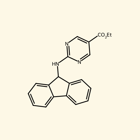 CCOC(=O)c1cnc(NC2c3ccccc3-c3ccccc32)nc1